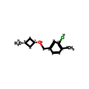 Cc1ccc(CO[C@H]2C[C@@H](C)C2)cc1Cl